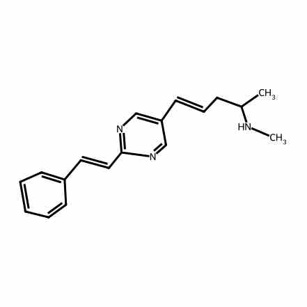 CNC(C)CC=Cc1cnc(C=Cc2ccccc2)nc1